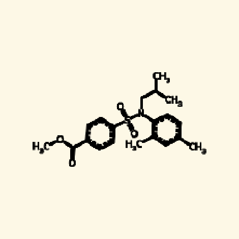 COC(=O)c1ccc(S(=O)(=O)N(CC(C)C)c2ccc(C)cc2C)cc1